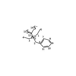 CC[N+](CC)(Cc1ccccc1)C(=S)[S-]